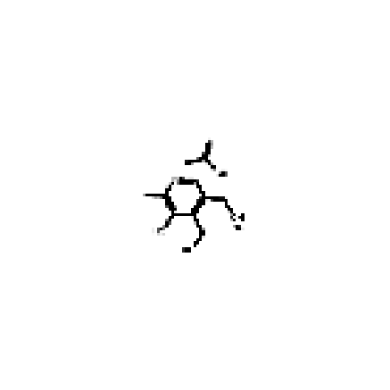 CC(=O)O.Cc1ncc(CO)c(CO)c1O.Cl